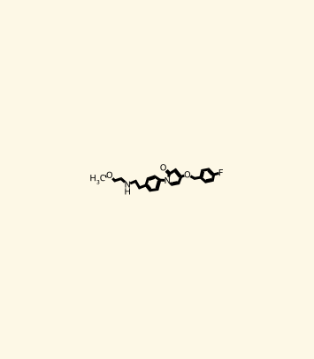 COCCNCCc1ccc(-n2ccc(OCc3ccc(F)cc3)cc2=O)cc1